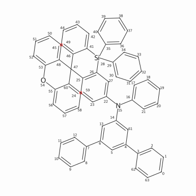 c1ccc(-c2cc(-c3ccccc3)cc(N(c3ccccc3)c3ccc4c(c3)[Si](c3ccccc3)(c3ccccc3)c3ccccc3C43c4ccccc4Oc4ccccc43)c2)cc1